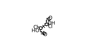 CC(C)(c1cc(Cl)c(O)c(CN2CCOCC2)c1)c1cc(Cl)c(O)c(CN2CCOCC2)c1